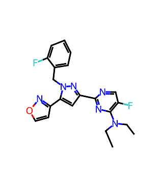 CCN(CC)c1nc(-c2cc(-c3ccon3)n(Cc3ccccc3F)n2)ncc1F